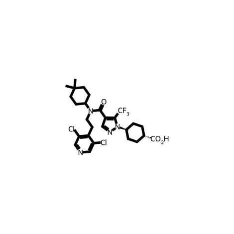 CC1(C)CCC(N(CCc2c(Cl)cncc2Cl)C(=O)c2cnn([C@H]3CC[C@H](C(=O)O)CC3)c2C(F)(F)F)CC1